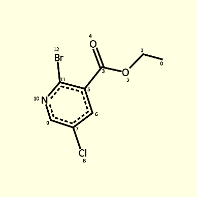 CCOC(=O)c1cc(Cl)cnc1Br